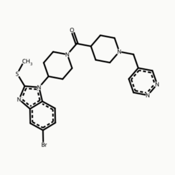 CSc1nc2cc(Br)ccc2n1C1CCN(C(=O)C2CCN(Cc3ccnnc3)CC2)CC1